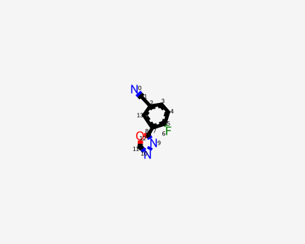 N#Cc1ccc(F)c(-c2nnco2)c1